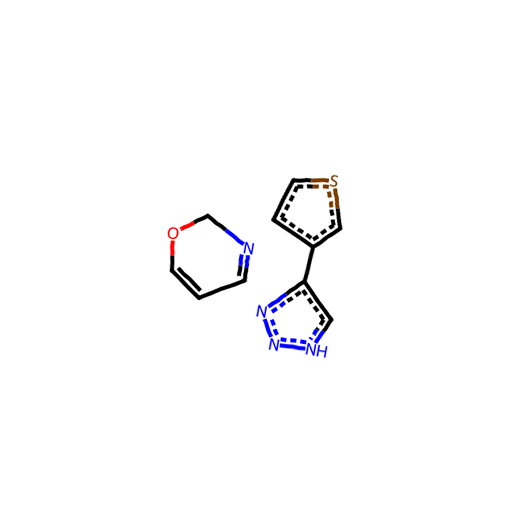 C1=COCN=C1.c1cc(-c2c[nH]nn2)cs1